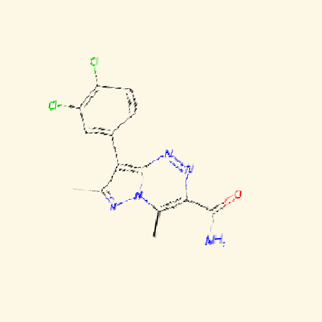 Cc1nn2c(C)c(C(N)=O)nnc2c1-c1ccc(Cl)c(Cl)c1